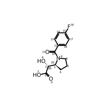 O=C(O)[C@H](O)[C@@H]1CCCN1C(=O)c1ccc(F)cc1